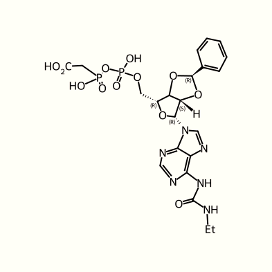 CCNC(=O)Nc1ncnc2c1ncn2[C@@H]1O[C@H](COP(=O)(O)OP(=O)(O)CC(=O)O)C2O[C@@H](c3ccccc3)O[C@@H]21